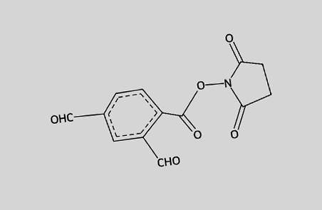 O=Cc1ccc(C(=O)ON2C(=O)CCC2=O)c(C=O)c1